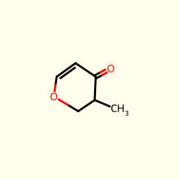 CC1COC=CC1=O